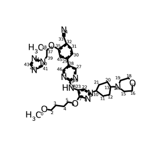 COCCCCOc1nn(C2CCC(N3CCOCC3)CC2)cc1Nc1ncc(-c2ccc(C#N)c(O[C@@H](C)Cn3cncn3)c2)cn1